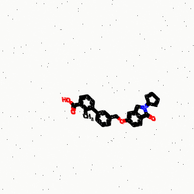 Cc1c(C(=O)O)cccc1-c1cccc(COc2ccc3c(c2)CN(C2CCCC2)C3=O)c1